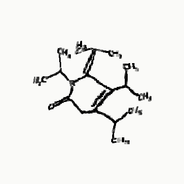 CC(C)=C1C(C(C)C)=C(C(C)C)CC(=O)N1C(C)C